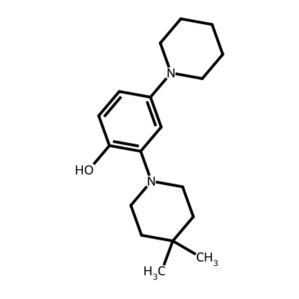 CC1(C)CCN(c2cc(N3CCCCC3)ccc2O)CC1